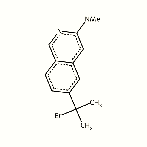 CCC(C)(C)c1ccc2cnc(NC)cc2c1